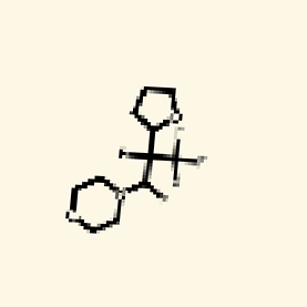 FC(N1CCOCC1)C(F)(C1CCCO1)C(F)(F)F